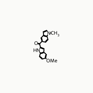 COc1ccc2[nH]c(C(=O)c3ccc4c(ccn4C)c3)cc2c1